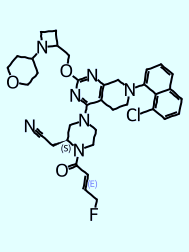 N#CC[C@H]1CN(c2nc(OCC3CCN3C3CCOCC3)nc3c2CCN(c2cccc4cccc(Cl)c24)C3)CCN1C(=O)/C=C/CF